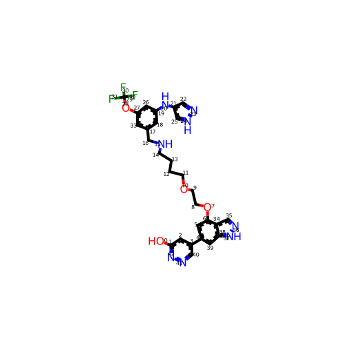 Oc1cc(-c2cc(OCCOCCCCNCc3cc(Nc4cn[nH]c4)cc(OC(F)(F)F)c3)c3cn[nH]c3c2)cnn1